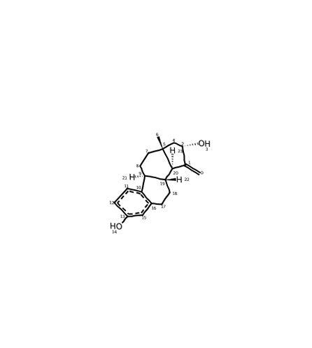 C=C1[C@@H](O)C[C@@]2(C)CC[C@@H]3c4ccc(O)cc4CC[C@H]3[C@H]12